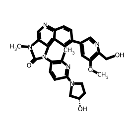 COc1cc(-c2ccc3ncc4c(c3c2)n(-c2ccc(N3CC[C@H](O)C3)nc2C)c(=O)n4C)cnc1CO